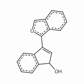 OC1C=C(c2occ3ccccc23)c2ccccc21